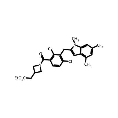 CCOC(=O)CC1CN(C(=O)c2ccc(Cl)c(Cc3cc4c(C)cc(C(F)(F)F)cc4n3C)c2Cl)C1